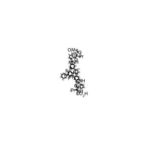 COC(=O)N[C@H](C(=O)N1CCC[C@H]1c1nc2ccc([C@H]3CC[C@H](c4ccc5nc([C@@H]6CCCN6C(=O)[C@@H](NC(=O)O)C(C)C)[nH]c5c4)N3c3c(F)c(F)c(N4CCCCC4)c(F)c3F)cc2[nH]1)C(C)C